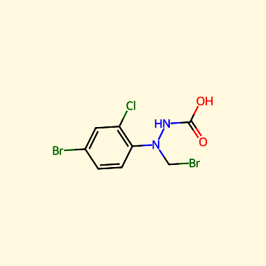 O=C(O)NN(CBr)c1ccc(Br)cc1Cl